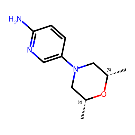 C[C@@H]1CN(c2ccc(N)nc2)C[C@H](C)O1